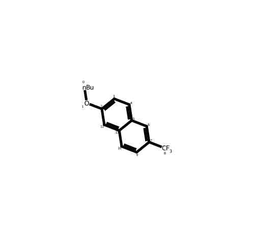 CCCCOc1ccc2cc(C(F)(F)F)ccc2c1